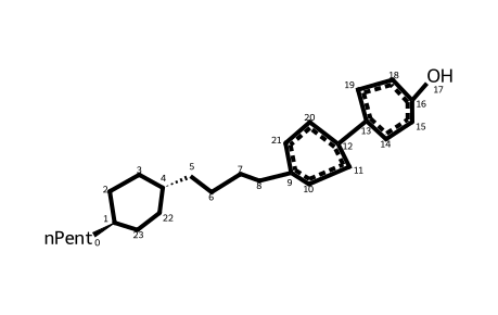 CCCCC[C@H]1CC[C@H](CCCCc2ccc(-c3ccc(O)cc3)cc2)CC1